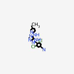 CCc1ccc(Nc2ncnc3nc(-c4c(Cl)cc(C#N)cc4Cl)[nH]c23)nc1